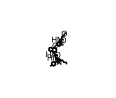 CCCCc1cc(NC(=O)Nc2ccc(Oc3ccnc(NC(=O)CCOC)c3)c3ccccc23)n(-c2ccc(C)cc2)n1